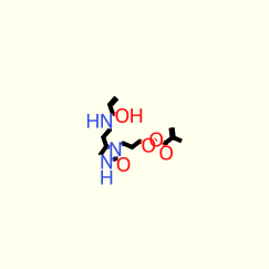 C=CC(O)NCCC1CNC(=O)N1CCCOOC(=O)C(=C)C